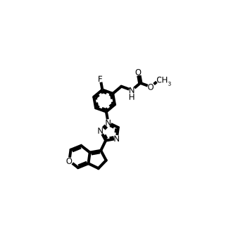 COC(=O)NCc1cc(-n2cnc(C3=C4C=COC=C4CC3)n2)ccc1F